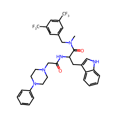 CN(Cc1cc(C(F)(F)F)cc(C(F)(F)F)c1)C(=O)C(Cc1c[nH]c2ccccc12)NC(=O)CN1CCN(c2ccccc2)CC1